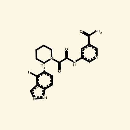 NC(=O)c1cncc(NC(=O)C(=O)N2CCCC[C@H]2c2ccc3[nH]ncc3c2F)c1